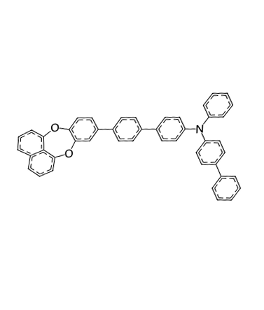 c1ccc(-c2ccc(N(c3ccccc3)c3ccc(-c4ccc(-c5ccc6c(c5)Oc5cccc7cccc(c57)O6)cc4)cc3)cc2)cc1